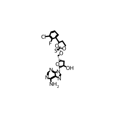 Nc1ncnc2c1ncn2[C@@H]1O[C@H](COP2(=S)OCCC(c3cccc(Cl)c3F)O2)CC1O